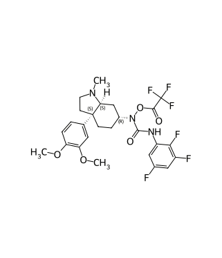 COc1ccc([C@@]23CC[C@@H](N(OC(=O)C(F)(F)F)C(=O)Nc4cc(F)cc(F)c4F)C[C@@H]2N(C)CC3)cc1OC